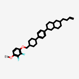 C=CCCC1CCC2CC(c3ccc(C4CCC(COc5ccc(OCC)c(F)c5F)CC4)cc3)CCC2C1